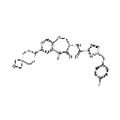 CN1C(=O)[C@@H](NC(=O)c2ncn(Cc3ccc(F)cc3)n2)COc2ccc(N3CCC4(CC3)COC4)cc21